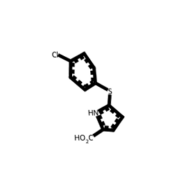 O=C(O)c1ccc(Sc2ccc(Cl)cc2)[nH]1